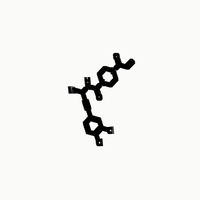 C=CC(=O)N1CCN(C(=O)NC(C#Cc2ccc(Cl)c(Cl)c2)CC)CC1